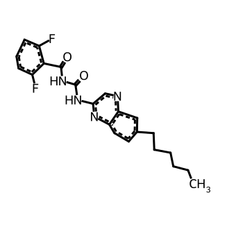 CCCCCCc1ccc2nc(NC(=O)NC(=O)c3c(F)cccc3F)cnc2c1